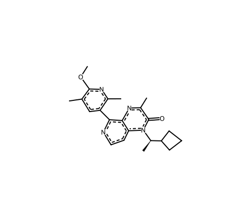 COc1nc(C)c(-c2nccc3c2nc(C)c(=O)n3[C@H](C)C2CCC2)cc1C